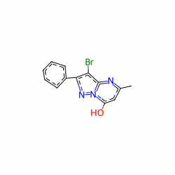 Cc1cc(O)n2nc(-c3ccccc3)c(Br)c2n1